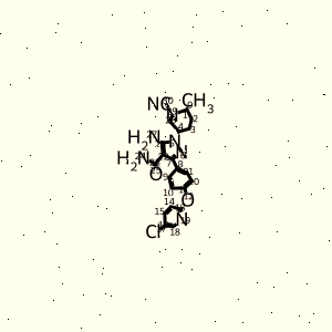 C[C@H]1CC[C@H](n2nc(-c3ccc(Oc4ccc(Cl)cn4)cc3)c(C(N)=O)c2N)CN1C#N